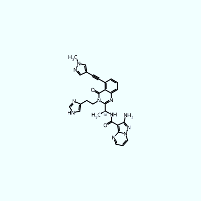 C[C@H](NC(=O)c1c(N)nn2cccnc12)c1nc2cccc(C#Cc3cnn(C)c3)c2c(=O)n1CCc1c[nH]cn1